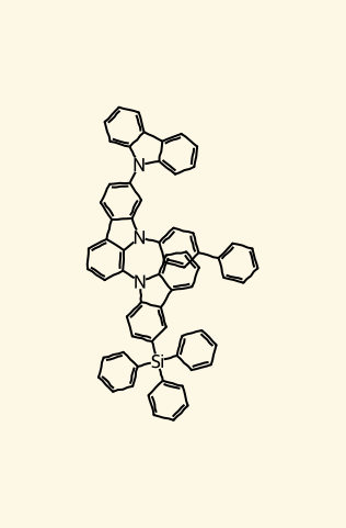 c1ccc(-c2ccc(-n3c4cc(-n5c6ccccc6c6ccccc65)ccc4c4cccc(-n5c6ccccc6c6cc([Si](c7ccccc7)(c7ccccc7)c7ccccc7)ccc65)c43)cc2)cc1